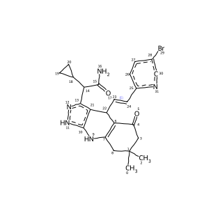 CC1(C)CC(=O)C2=C(C1)Nc1[nH]nc(C(C(N)=O)C3CC3)c1C2/C=C/c1ccc(Br)cn1